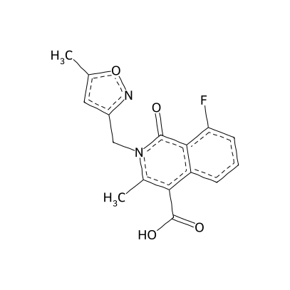 Cc1cc(Cn2c(C)c(C(=O)O)c3cccc(F)c3c2=O)no1